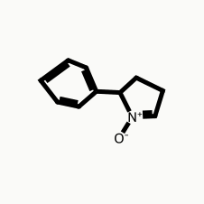 [O-][N+]1=CCCC1c1ccccc1